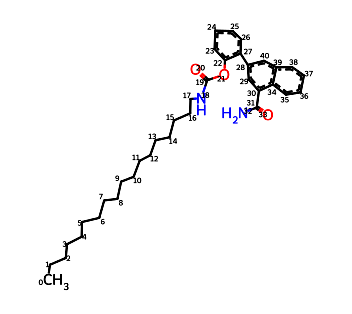 CCCCCCCCCCCCCCCCCCNC(=O)Oc1ccccc1-c1cc(C(N)=O)c2ccccc2c1